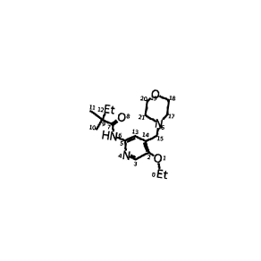 CCOc1cnc(NC(=O)C(C)(C)CC)cc1CN1CCOCC1